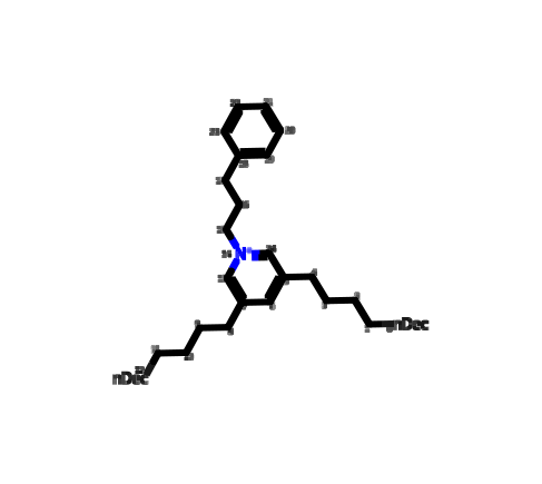 CCCCCCCCCCCCCCc1cc(CCCCCCCCCCCCCC)c[n+](CCCc2ccccc2)c1